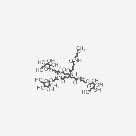 COCCCNC(=O)CCCC(=O)NC(CCC(=O)NCCCO[C@@H]1OC(CO)[C@H](O)[C@H](O)C1C)(CCC(=O)NCCCO[C@@H]1OC(CO)[C@H](O)[C@H](O)C1C)CCC(=O)NCCCO[C@@H]1OC(CO)[C@H](O)[C@H](O)C1C